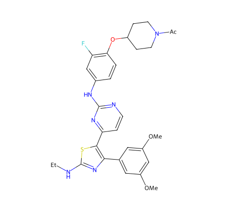 CCNc1nc(-c2cc(OC)cc(OC)c2)c(-c2ccnc(Nc3ccc(OC4CCN(C(C)=O)CC4)c(F)c3)n2)s1